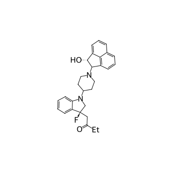 CCC(=O)C[C@@]1(F)CN(C2CCN(C3c4cccc5cccc(c45)[C@H]3O)CC2)c2ccccc21